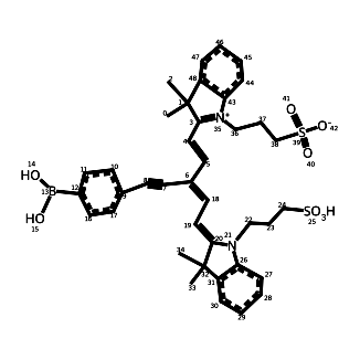 CC1(C)C(/C=C/C(C#Cc2ccc(B(O)O)cc2)=C/C=C2\N(CCCS(=O)(=O)O)c3ccccc3C2(C)C)=[N+](CCCS(=O)(=O)[O-])c2ccccc21